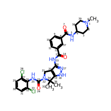 CN1CCC(NC(=O)c2cccc(C(=O)Nc3n[nH]c4c3CN(C(=O)Nc3c(Cl)cccc3Cl)C4(C)C)c2)CC1